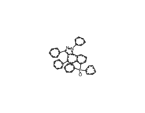 O=P(c1ccccc1)(c1ccccc1)c1cccc2c1cc(-c1ccccc1)c1c(-c3ccccc3)nn(-c3ccccc3)c12